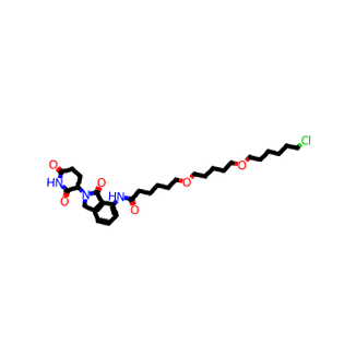 O=C1CCC(N2Cc3cccc(NC(=O)CCCCCOCCCCCOCCCCCCCl)c3C2=O)C(=O)N1